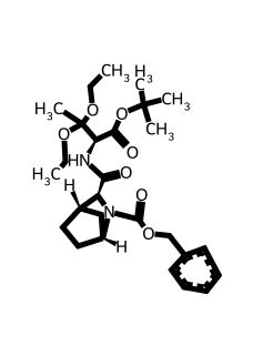 CCOC(C)(OCC)[C@H](NC(=O)[C@@H]1[C@H]2CC[C@H](C2)N1C(=O)OCc1ccccc1)C(=O)OC(C)(C)C